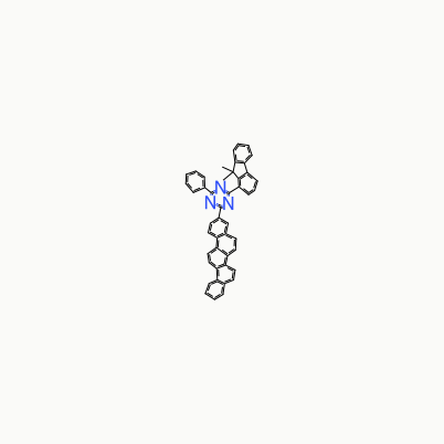 CC1(C)c2ccccc2-c2cccc(-c3nc(-c4ccccc4)nc(-c4ccc5c(ccc6c5ccc5c7ccccc7ccc56)c4)n3)c21